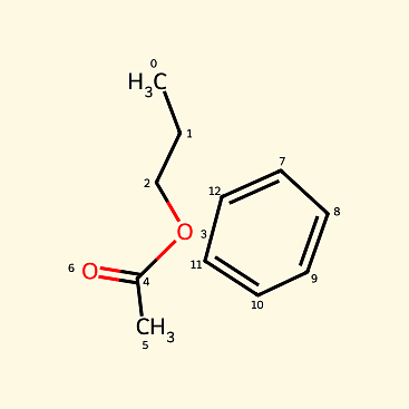 CCCOC(C)=O.c1ccccc1